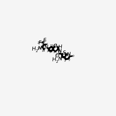 Cc1ccc2c(N)c(C(=O)N[C@H]3COc4cc(N5C[C@@H](N)[C@@H](C(F)F)C5)ccc4C3)sc2n1